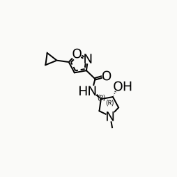 CN1C[C@@H](O)[C@H](NC(=O)c2cc(C3CC3)on2)C1